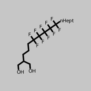 CCCCCCCC(F)(F)C(F)(F)C(F)(F)C(F)(F)C(F)(F)CCCC(CO)CO